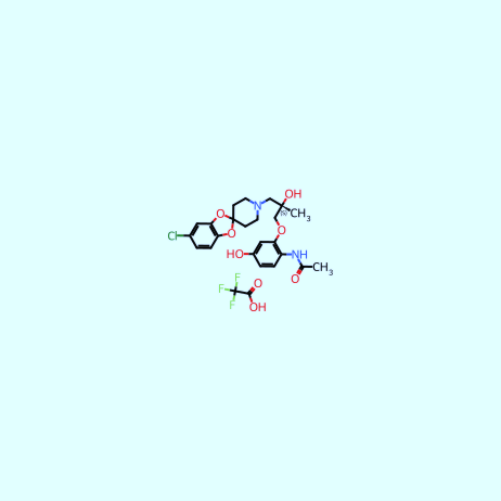 CC(=O)Nc1ccc(O)cc1OC[C@@](C)(O)CN1CCC2(CC1)Oc1ccc(Cl)cc1O2.O=C(O)C(F)(F)F